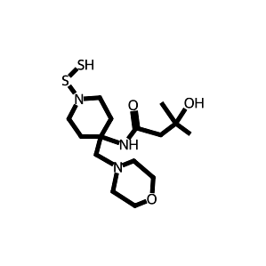 CC(C)(O)CC(=O)NC1(CN2CCOCC2)CCN(SS)CC1